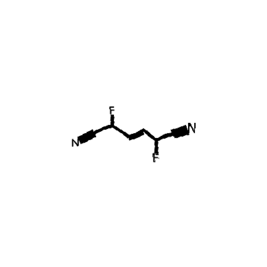 N#CC(F)C=CC(F)C#N